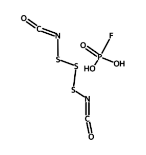 O=C=NSSSN=C=O.O=P(O)(O)F